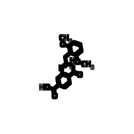 COc1cccc(OC)c1Cc1nc2cc(C(=O)O)ccc2c(=O)[nH]1